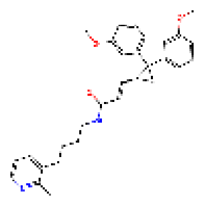 COc1cccc(C2(c3cccc(OC)c3)C[C@H]2/C=C/C(=O)NCCCCc2cccnc2C)c1